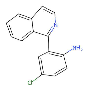 Nc1ccc(Cl)cc1-c1nccc2ccccc12